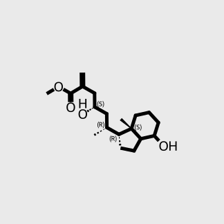 C=C(C[C@@H](O)C[C@@H](C)[C@H]1CCC2C(O)CCC[C@]21C)C(=O)OC